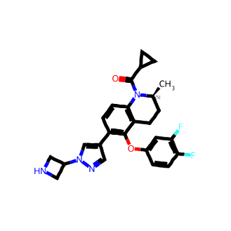 C[C@H]1CCc2c(ccc(-c3cnn(C4CNC4)c3)c2Oc2ccc(F)c(F)c2)N1C(=O)C1CC1